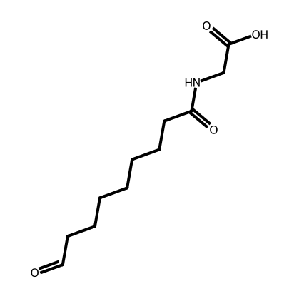 O=CCCCCCCCC(=O)NCC(=O)O